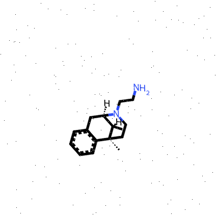 C[C@@H]1[C@H]2Cc3ccccc3[C@]1(C)CCN2CCN